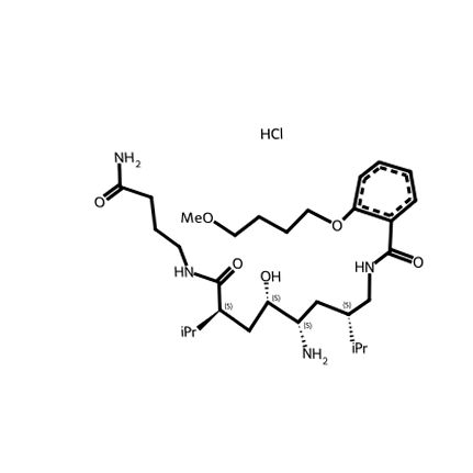 COCCCCOc1ccccc1C(=O)NC[C@@H](C[C@H](N)[C@@H](O)C[C@H](C(=O)NCCCC(N)=O)C(C)C)C(C)C.Cl